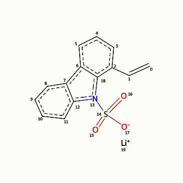 C=Cc1cccc2c3ccccc3n(S(=O)(=O)[O-])c12.[Li+]